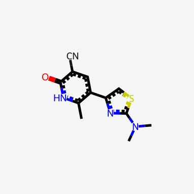 Cc1[nH]c(=O)c(C#N)cc1-c1csc(N(C)C)n1